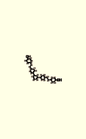 Oc1ccc(CCc2ccc(-c3cccc(-c4ccc(CCc5ccc(O)cc5)cc4)c3)cc2)cc1